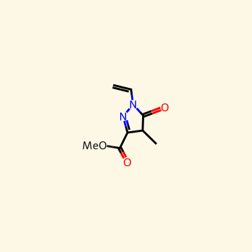 C=CN1N=C(C(=O)OC)C(C)C1=O